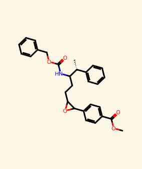 COC(=O)c1ccc(C2OC2CCC(NC(=O)OCc2ccccc2)[C@H](C)c2ccccc2)cc1